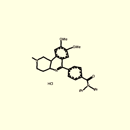 COc1cc2c(cc1OC)C1CN(C)CCC1N=C2c1ccc(C(=O)N(C(C)C)C(C)C)cc1.Cl